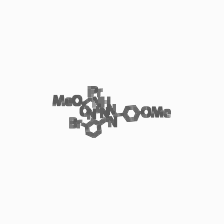 COC(=O)[C@H](Nc1nc2c(Br)cccc2c2nc(-c3ccc(OC)cc3)nn12)C(C)C